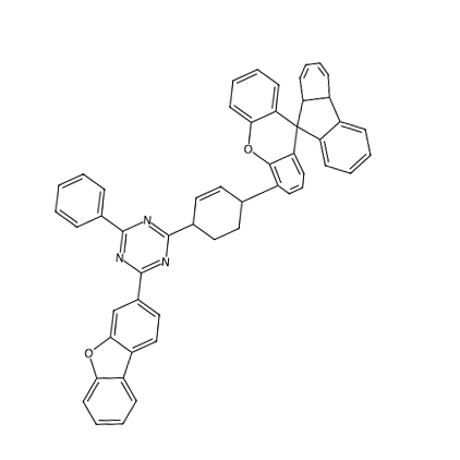 C1=CC2c3ccccc3C3(c4ccccc4Oc4c(C5C=CC(c6nc(-c7ccccc7)nc(-c7ccc8c(c7)oc7ccccc78)n6)CC5)cccc43)C2C=C1